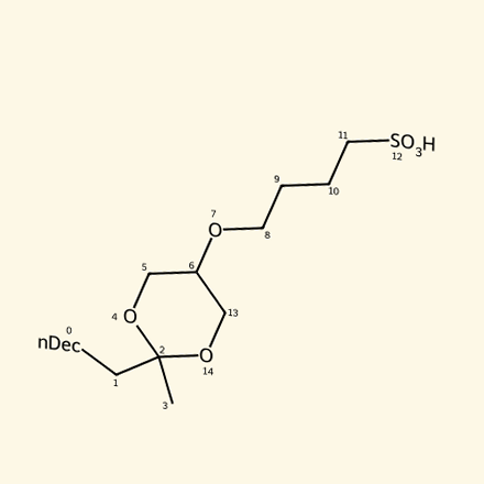 CCCCCCCCCCCC1(C)OCC(OCCCCS(=O)(=O)O)CO1